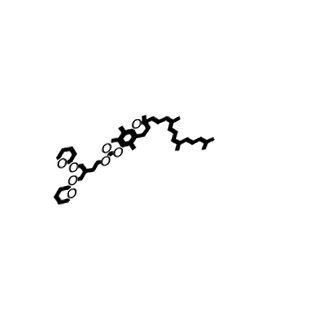 Cc1c(C)c2c(c(C)c1OC(=O)OCCC(COC1CCCCO1)COC1CCCCO1)CCC(C)(CCCC(C)CCCC(C)CCCC(C)C)O2